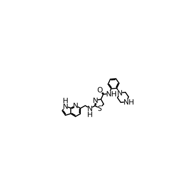 O=C(Nc1ccccc1N1CCNCC1)C1CSC(NCc2ccc3cc[nH]c3n2)=N1